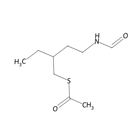 CCC(CCNC=O)CSC(C)=O